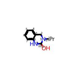 CC(C)N1Cc2ccccc2NC1O